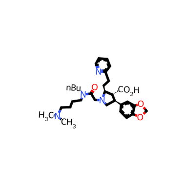 CCCCN(CCCCN(C)C)C(=O)CN1C[C@H](c2ccc3c(c2)OCO3)[C@@H](C(=O)O)[C@@H]1CCc1ccccn1